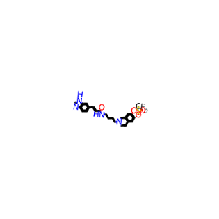 O=C(C=Cc1ccc2nc[nH]c2c1)NCCCCN1CCc2ccc(OS(=O)(=O)C(F)(F)F)cc2C1